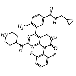 Cc1ccc(C(=O)NCC2CC2)cc1-c1nc(NC2CCNCC2)nc2c1CNC(=O)N2c1c(F)cccc1F